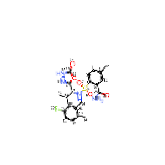 Cc1ccc(S(=O)(=O)N[C@H](c2n[nH]c(=O)o2)[C@H](C)c2c(F)ccc(C)c2C)c(C(N)=O)c1